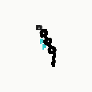 C/C=C/CCc1ccc(-c2ccc(-c3ccc(CC)cc3)c(F)c2F)cc1